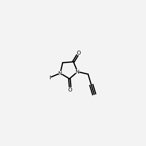 C#CCN1C(=O)CN(I)C1=O